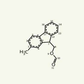 Cc1ccc2c(c1)C(COC=O)c1ccccc1-2